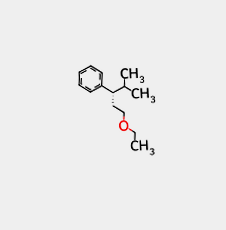 CCOCC[C@H](c1ccccc1)C(C)C